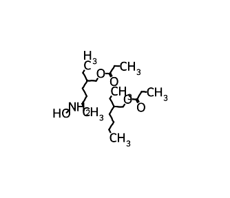 CCCCC(CC)COC(=O)CC.CCCCC(CC)COC(=O)CC.NO